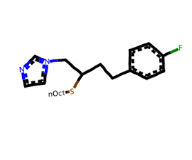 CCCCCCCCSC(CCc1ccc(F)cc1)Cn1ccnc1